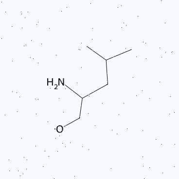 CC(C)CC(N)C[O]